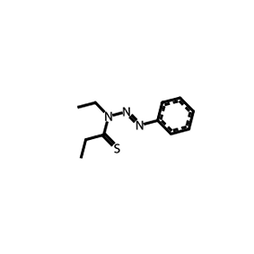 CCC(=S)N(CC)N=Nc1ccccc1